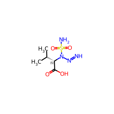 CC(C)[C@@H](C(=O)O)N(N=N)S(N)(=O)=O